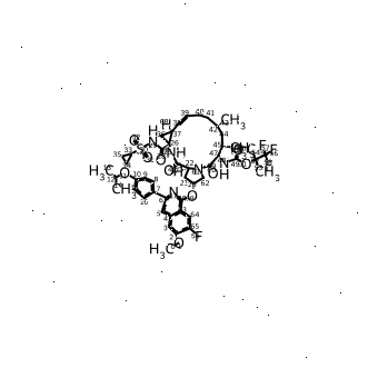 COc1cc2cc(-c3ccc(OC(C)C)cc3)nc(O[C@@H]3C[C@H]4C(=O)N[C@]5(C(=O)NS(=O)(=O)C6CC6)C[C@H]5/C=C\CC[C@H](C)C[C@@H](C)[C@H](NC(=O)OC(C)(C)C(F)(F)F)C(=O)N4C3)c2cc1F